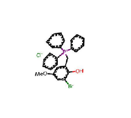 COc1cc(Br)c(O)c(C[P+](c2ccccc2)(c2ccccc2)c2ccccc2)c1.[Cl-]